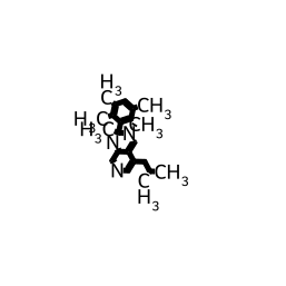 Cc1cc(C)c(C)c(C2(C)N=c3cncc(CC(C)C)c3=CN2C)c1